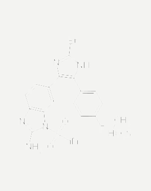 CCc1nc(-c2ccc3nc(N)n(S(=O)(=O)C(C)C)c3c2)c(-c2ccc(F)cc2)[nH]1.CS(=O)(=O)O